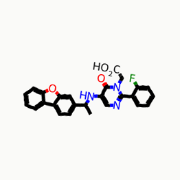 CC(Nc1cnc(-c2ccccc2F)n(CC(=O)O)c1=O)c1ccc2c(c1)oc1ccccc12